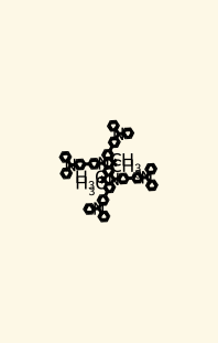 CC1(C)c2cc(-c3ccc(N(c4ccccc4)c4ccccc4)cc3)ccc2N(c2ccc(-c3ccc(N(c4ccccc4)c4ccccc4)cc3)cc2)c2cc3c(cc21)N(c1ccc(-c2ccc(N(c4ccccc4)c4ccccc4)cc2)cc1)c1ccc(-c2ccc(N(c4ccccc4)c4ccccc4)cc2)cc1C3(C)C